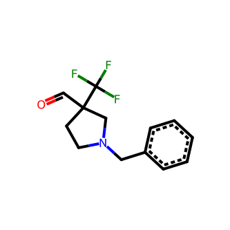 O=CC1(C(F)(F)F)CCN(Cc2ccccc2)C1